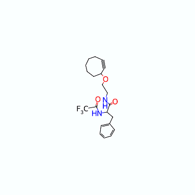 O=C(NCCOC1C#CCCCCC1)C(Cc1ccccc1)NC(=O)C(F)(F)F